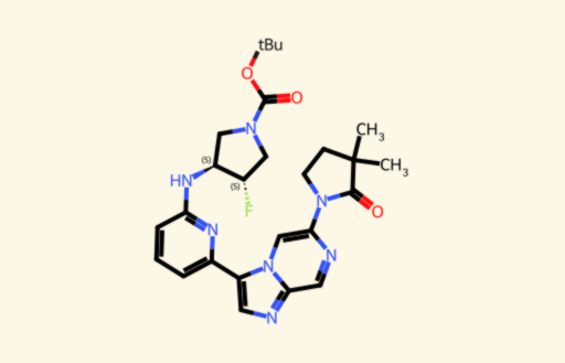 CC(C)(C)OC(=O)N1C[C@H](Nc2cccc(-c3cnc4cnc(N5CCC(C)(C)C5=O)cn34)n2)[C@@H](F)C1